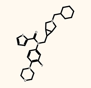 O=C(c1cccs1)N(CC1C2CN(CC3CCCCC3)CC21)c1ccc(N2CCOCC2)c(F)c1